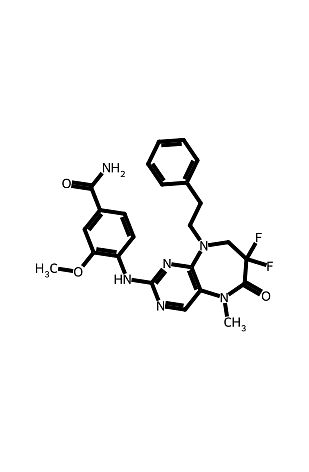 COc1cc(C(N)=O)ccc1Nc1ncc2c(n1)N(CCc1ccccc1)CC(F)(F)C(=O)N2C